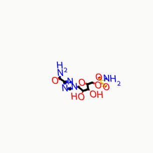 NC(=O)c1ncn(C2OC(COS(N)(=O)=O)[C@@H](O)[C@H]2O)n1